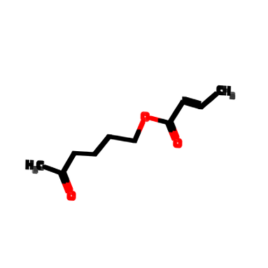 CC=CC(=O)OCCCCC(C)=O